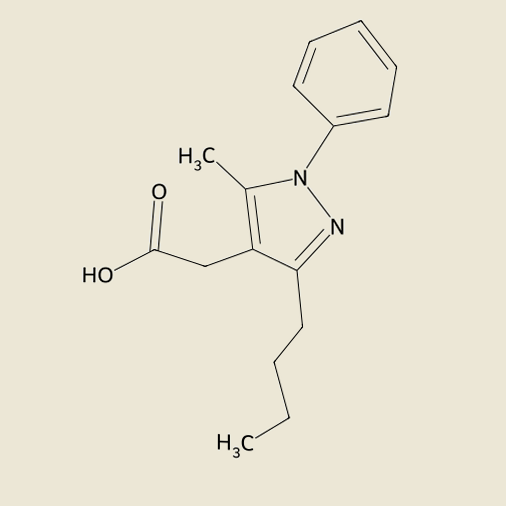 CCCCc1nn(-c2ccccc2)c(C)c1CC(=O)O